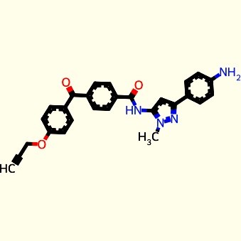 C#CCOc1ccc(C(=O)c2ccc(C(=O)Nc3cc(-c4ccc(N)cc4)nn3C)cc2)cc1